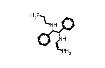 P/C=C\N[C@@H](c1ccccc1)[C@@H](NCCP)c1ccccc1